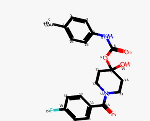 CC(C)(C)c1ccc(NC(=O)OC2(O)CCN(C(=O)c3ccc(F)cc3)CC2)cc1